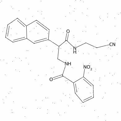 N#CCCNC(=O)C(CNC(=O)c1ccccc1[N+](=O)[O-])c1ccc2ccccc2c1